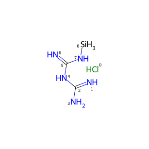 Cl.N=C(N)NC(=N)N[SiH3]